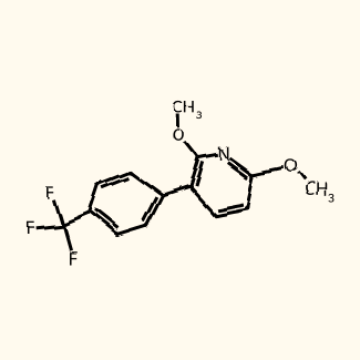 COc1ccc(-c2ccc(C(F)(F)F)cc2)c(OC)n1